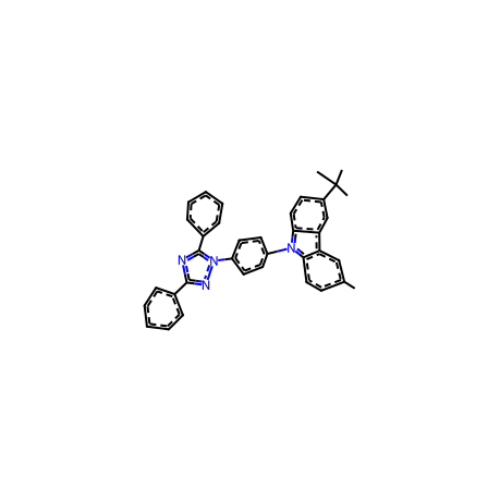 Cc1ccc2c(c1)c1cc(C(C)(C)C)ccc1n2-c1ccc(-n2nc(-c3ccccc3)nc2-c2ccccc2)cc1